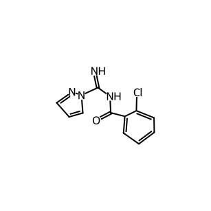 N=C(NC(=O)c1ccccc1Cl)n1cccn1